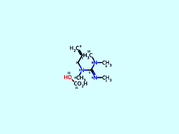 C=CCN(C)C(=NC)N(C)C.O=C(O)O